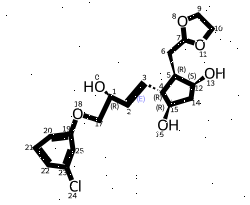 O[C@H](/C=C/[C@@H]1[C@@H](CC2OCCO2)[C@@H](O)C[C@H]1O)COc1cccc(Cl)c1